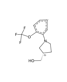 OC[C@H]1CCN(c2c[c]ccc2OC(F)(F)F)C1